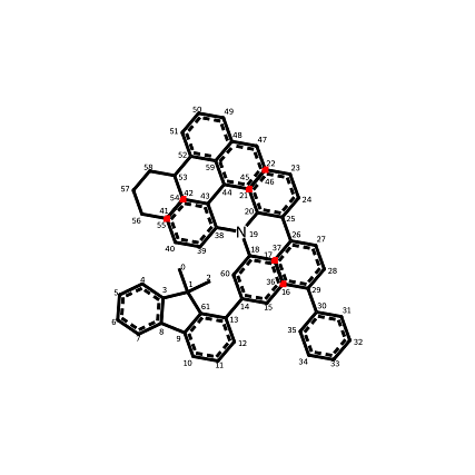 CC1(C)c2ccccc2-c2cccc(-c3cccc(N(c4ccccc4-c4ccc(-c5ccccc5)cc4)c4ccccc4-c4cccc5cccc(C6CCCCC6)c45)c3)c21